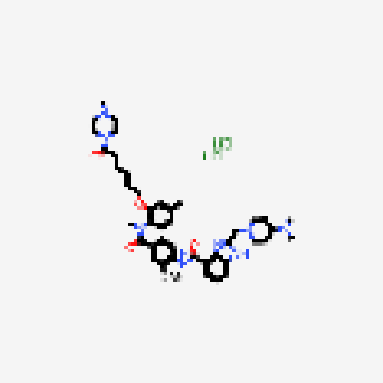 COc1cc(C(=O)N(C)c2ccc(C)cc2OCCCCCC(=O)N2CCN(C)CC2)ccc1NC(=O)c1cccc2[nH]c(CN3CCC(N(C)C)CC3)nc12.Cl.Cl.Cl